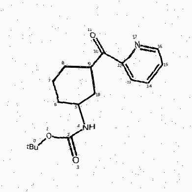 CC(C)(C)OC(=O)NC1CCCC(C(=O)c2ccccn2)C1